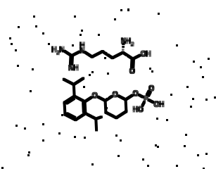 CC(C)c1cccc(C(C)C)c1OC1CCCC(OP(=O)(O)O)O1.N=C(N)NCCC[C@H](N)C(=O)O